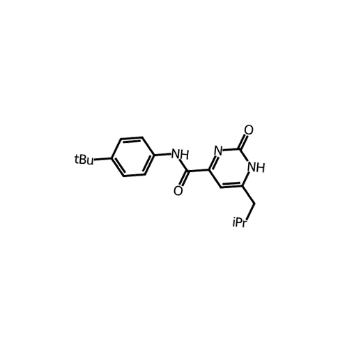 CC(C)Cc1cc(C(=O)Nc2ccc(C(C)(C)C)cc2)nc(=O)[nH]1